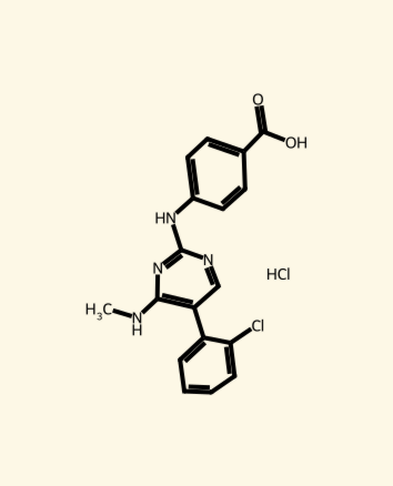 CNc1nc(Nc2ccc(C(=O)O)cc2)ncc1-c1ccccc1Cl.Cl